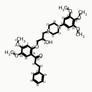 COc1cc(OCC(O)CN2CCN(c3cc(OC)c(OC)c(OC)c3)CC2)c(C(=O)CCc2ccccc2)cc1OC